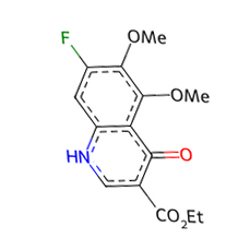 CCOC(=O)c1c[nH]c2cc(F)c(OC)c(OC)c2c1=O